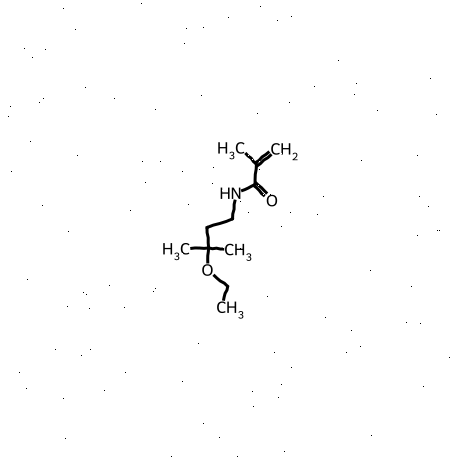 C=C(C)C(=O)NCCC(C)(C)OCC